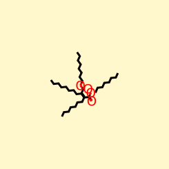 CCCCCCCCOC(=O)C(CCCCCCC)=C(CCCCCCCC)C(=O)OCCCCCCCC